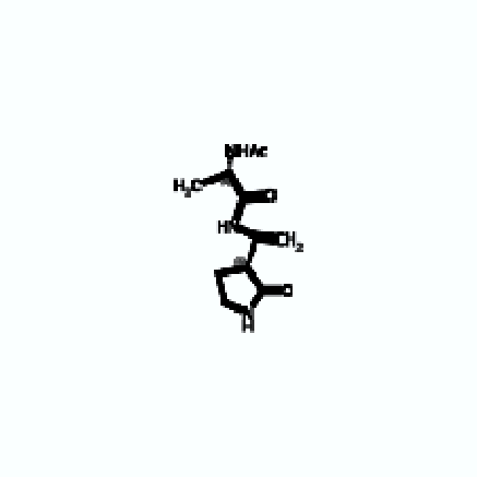 C=C(NC(=O)[C@H](C)NC(C)=O)[C@@H]1CCNC1=O